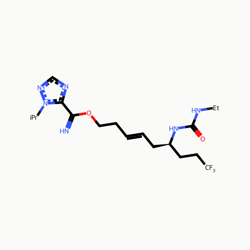 CCNC(=O)N[C@H](C/C=C/CCOC(=N)c1ncnn1C(C)C)CCC(F)(F)F